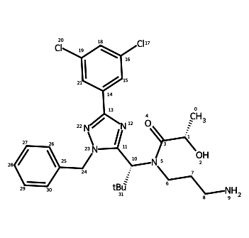 C[C@H](O)C(=O)N(CCCN)[C@@H](c1nc(-c2cc(Cl)cc(Cl)c2)nn1Cc1ccccc1)C(C)(C)C